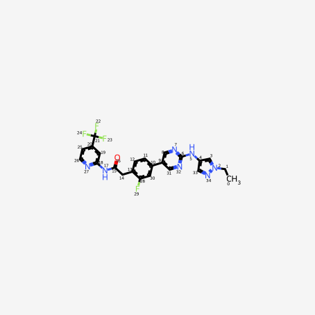 CCn1cc(Nc2ncc(-c3ccc(CC(=O)Nc4cc(C(F)(F)F)ccn4)c(F)c3)cn2)cn1